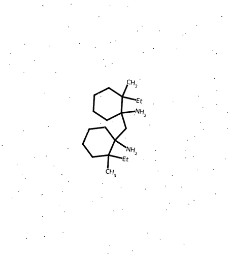 CCC1(C)CCCCC1(N)CC1(N)CCCCC1(C)CC